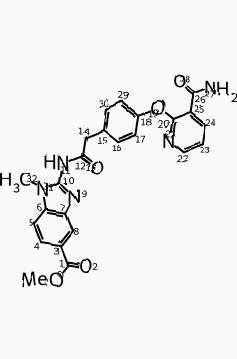 COC(=O)c1ccc2c(c1)nc(NC(=O)Cc1ccc(Oc3ncccc3C(N)=O)cc1)n2C